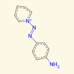 Nc1ccc(N=N[n+]2ccccc2)cc1